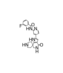 O=C(Nc1cc(-c2cc3c([nH]2)C2(CCNCC2)CNC3=O)ccn1)c1cccc(F)c1